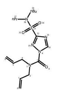 C=CCN(CC=C)C(=O)n1cnc(S(=O)(=O)N(CCC)CCCC)n1